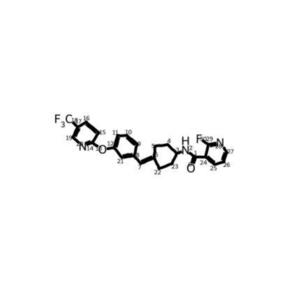 O=C(NC1CCC(=Cc2cccc(Oc3ccc(C(F)(F)F)cn3)c2)CC1)c1cccnc1F